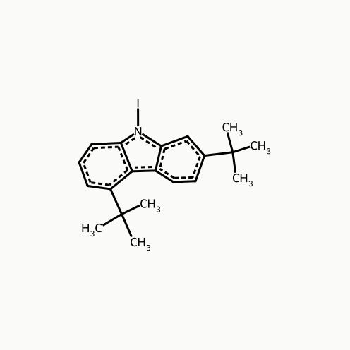 CC(C)(C)c1ccc2c3c(C(C)(C)C)cccc3n(I)c2c1